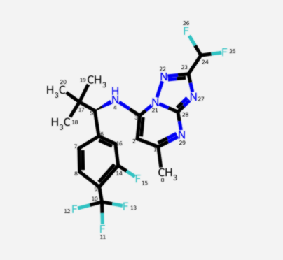 Cc1cc(N[C@@H](c2ccc(C(F)(F)F)c(F)c2)C(C)(C)C)n2nc(C(F)F)nc2n1